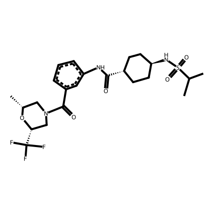 CC(C)S(=O)(=O)N[C@H]1CC[C@H](C(=O)Nc2cccc(C(=O)N3C[C@@H](C)O[C@@H](C(F)(F)F)C3)c2)CC1